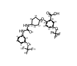 O=C(Nc1cccc(OC(F)(F)F)c1)NC1CCC(Oc2ccc(OC(F)(F)F)cc2C(=O)O)CC1